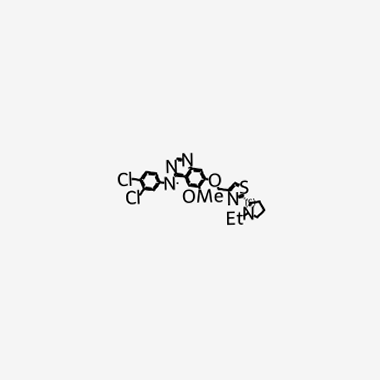 CCN1CCC[C@H]1c1nc(COc2cc3ncnc([N]c4ccc(Cl)c(Cl)c4)c3cc2OC)cs1